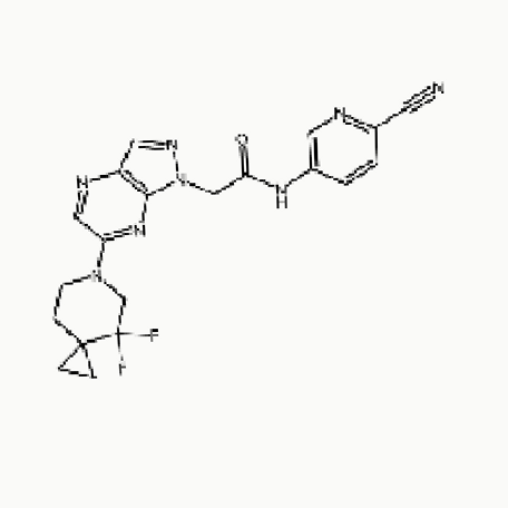 N#Cc1ccc(NC(=O)Cn2ncc3ncc(N4CCC5(CC5)C(F)(F)C4)nc32)cn1